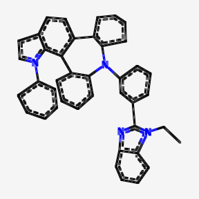 CCn1c(-c2cccc(N3c4ccccc4-c4ccc5ccn(-c6ccccc6)c5c4-c4ccccc43)c2)nc2ccccc21